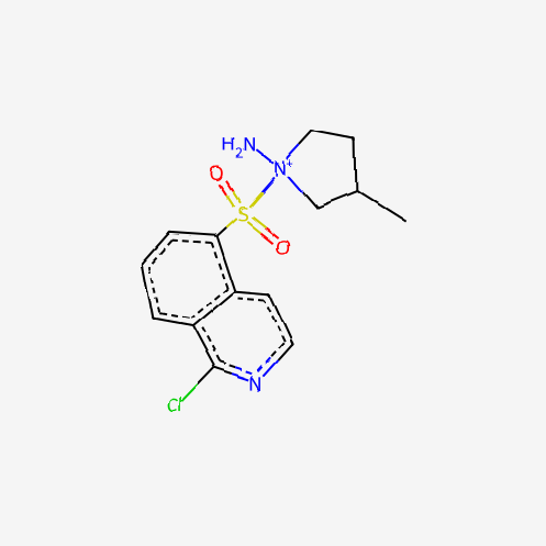 CC1CC[N+](N)(S(=O)(=O)c2cccc3c(Cl)nccc23)C1